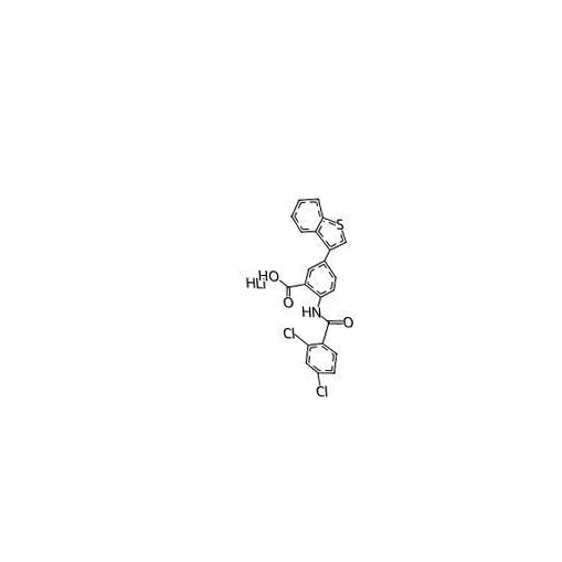 O=C(Nc1ccc(-c2csc3ccccc23)cc1C(=O)O)c1ccc(Cl)cc1Cl.[LiH]